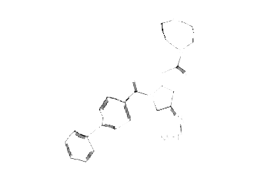 CON=C1C[C@@H](CC(=O)N2CCOCC2)N(C(=O)c2ccc(-c3ccccc3)cc2)C1